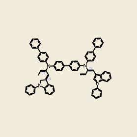 C=C/C(=C\c1cn(-c2ccccc2)c2ccccc12)N(c1ccc(-c2ccccc2)cc1)c1ccc(-c2ccc(N(C(/C=C3\CN(c4ccccc4)c4ccccc43)=C/C)c3ccc(-c4ccccc4)cc3)cc2)cc1